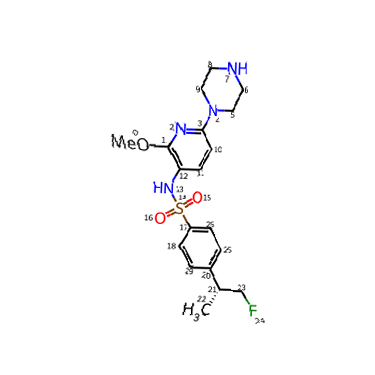 COc1nc(N2CCNCC2)ccc1NS(=O)(=O)c1ccc([C@@H](C)CF)cc1